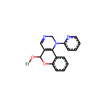 CCOC1Oc2ccccc2C2=C1C=NCN2c1ccccn1